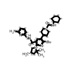 C[C@@H]1CN(c2nc(C(C)(C)C)c(C3=CCN(C(=O)NC4CCCCC4)CC3)cc2C(=O)NSc2cccc(N)n2)C(C)(C)C1